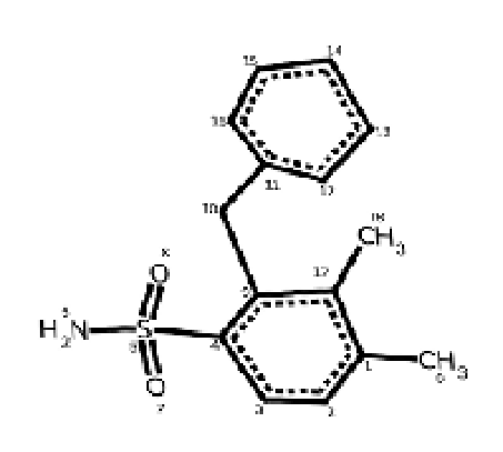 Cc1ccc(S(N)(=O)=O)c(Cc2ccccc2)c1C